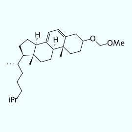 COCOC1CC[C@@]2(C)C(=CC=C3[C@@H]4CC[C@H]([C@@H](C)CCCC(C)C)[C@@]4(C)CC[C@@H]32)C1